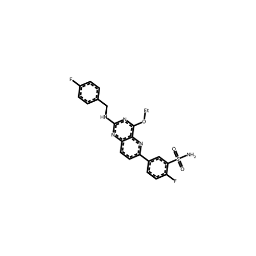 CCOc1nc(NCc2ccc(F)cc2)nc2ccc(-c3ccc(F)c(S(N)(=O)=O)c3)nc12